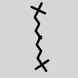 C[Si](C)(C)CCCOCCC[Si](C)(C)C